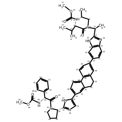 CCCN(C(=O)[C@@H](NC(=O)OC)C(C)C)[C@@H](C)c1nc2ccc(-c3ccc4c(c3)CCc3cc(-c5cnc([C@@H]6CCCN6C(=O)[C@H](NC(=O)OC)c6ccccc6)[nH]5)ccc3-4)cc2[nH]1